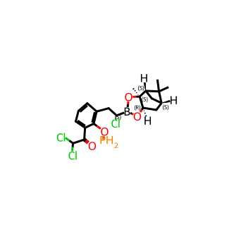 CC1(C)[C@@H]2C[C@H]3OB([C@H](Cl)Cc4cccc(C(=O)C(Cl)Cl)c4OP)O[C@@]3(C)[C@H]1C2